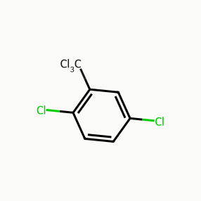 Clc1ccc(Cl)c(C(Cl)(Cl)Cl)c1